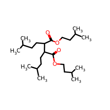 CC(C)CCOC(=O)C(CCC(C)C)C(CCC(C)C)C(=O)OCCC(C)C